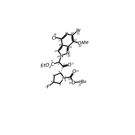 CCOC(=O)C(C(=O)[C@H]1CC(F)CN1C(=O)OC(C)(C)C)n1cc2c(Cl)cc(Br)c(OC)c2n1